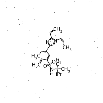 C=C/C(=C\C(=C/C)c1cn(/C=C\C)c(C=C)n1)S(=O)(=O)NC(C)(C)C(C)C